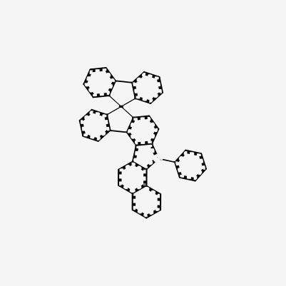 c1ccc(-n2c3ccc4c(c3c3ccc5ccccc5c32)-c2ccccc2C42c3ccccc3-c3ccccc32)cc1